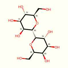 OC[C@H]1O[C]([C@H]2O[C@H](CO)[C@@H](O)[C@H](O)[C@@H]2O)[C@H](O)[C@@H](O)[C@H]1O